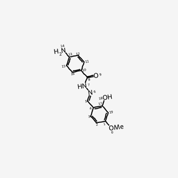 COc1ccc(/C=N/NC(=O)c2ccc(N)cc2)c(O)c1